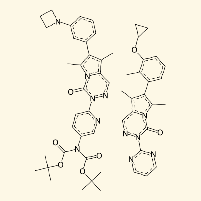 Cc1c(-c2cccc(N3CCC3)c2)c(C)n2c(=O)n(-c3ccc(N(C(=O)OC(C)(C)C)C(=O)OC(C)(C)C)cn3)ncc12.Cc1c(OC2CC2)cccc1-c1c(C)c2cnn(-c3ncccn3)c(=O)n2c1C